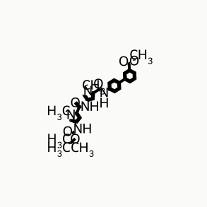 COC(=O)c1cccc(-c2ccc(NC(=O)c3cc(NC(=O)c4cc(NC(=O)OC(C)(C)C)cn4C)cn3C)cc2)c1